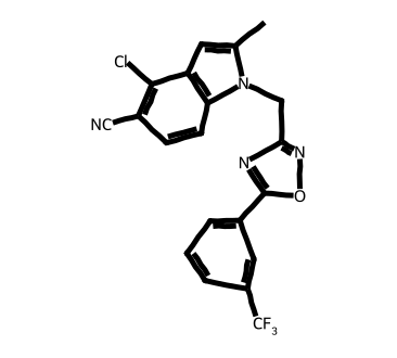 Cc1cc2c(Cl)c(C#N)ccc2n1Cc1noc(-c2cccc(C(F)(F)F)c2)n1